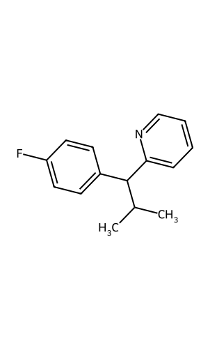 CC(C)C(c1ccc(F)cc1)c1ccccn1